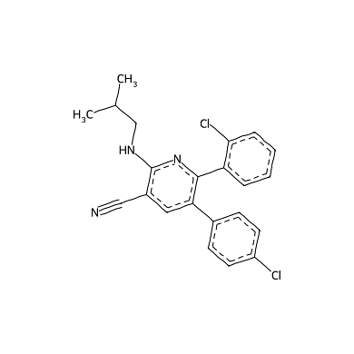 CC(C)CNc1nc(-c2ccccc2Cl)c(-c2ccc(Cl)cc2)cc1C#N